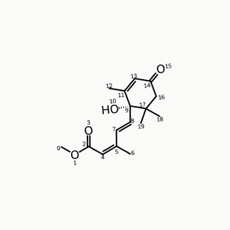 COC(=O)/C=C(C)\C=C\[C@@]1(O)C(C)=CC(=O)CC1(C)C